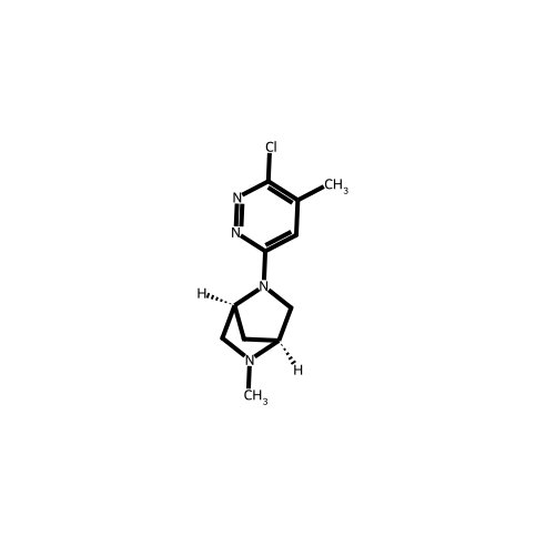 Cc1cc(N2C[C@@H]3C[C@H]2CN3C)nnc1Cl